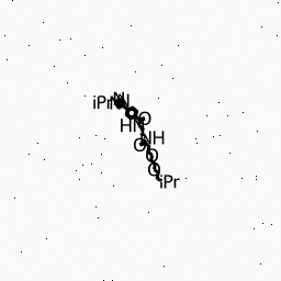 CC(C)CCOCCOCCC(=O)NCCNC(=O)c1ccc(-c2cn(C(C)C)nn2)cc1